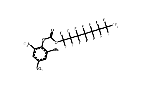 CCC(C)c1cc([N+](=O)[O-])cc([N+](=O)[O-])c1OC(=O)OC(F)(F)C(F)(F)C(F)(F)C(F)(F)C(F)(F)C(F)(F)C(F)(F)C(F)(F)F